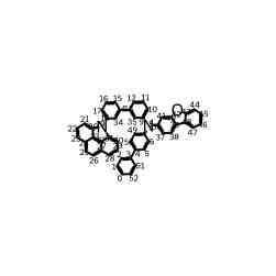 c1ccc(-c2ccc(N(c3cccc(-c4cccc(-n5c6cccc7ccc8cccc5c8c76)c4)c3)c3ccc4c(c3)oc3ccccc34)cc2)cc1